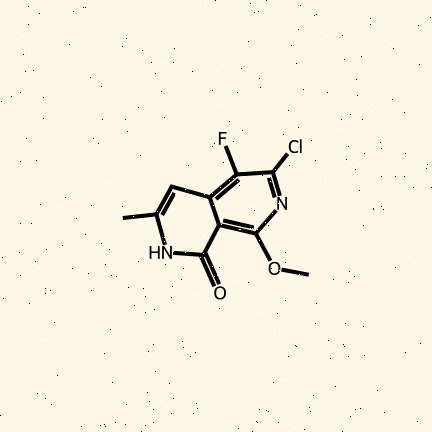 COc1nc(Cl)c(F)c2cc(C)[nH]c(=O)c12